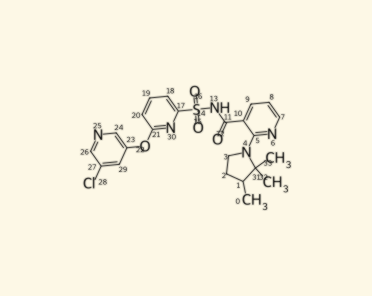 CC1CCN(c2ncccc2C(=O)NS(=O)(=O)c2cccc(Oc3cncc(Cl)c3)n2)C1(C)C